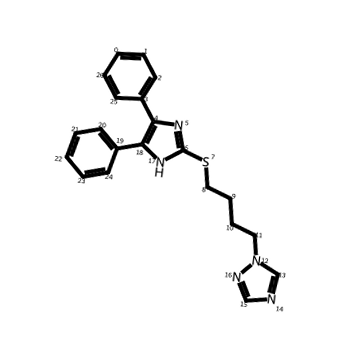 c1ccc(-c2nc(SCCCCn3cncn3)[nH]c2-c2ccccc2)cc1